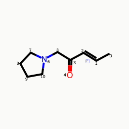 C/C=C/C(=O)CN1CCCC1